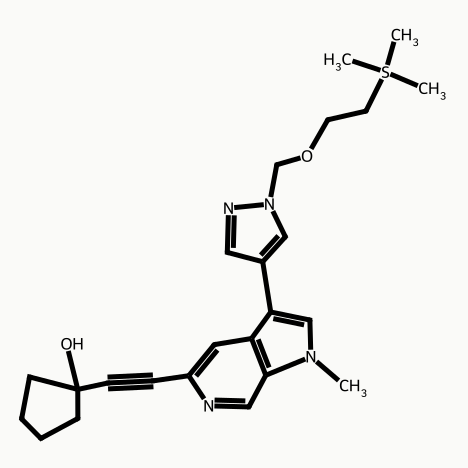 Cn1cc(-c2cnn(COCCS(C)(C)C)c2)c2cc(C#CC3(O)CCCC3)ncc21